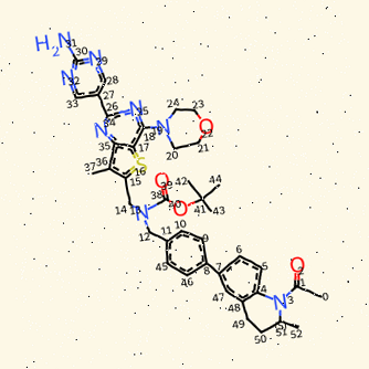 CC(=O)N1c2ccc(-c3ccc(CN(Cc4sc5c(N6CCOCC6)nc(-c6cnc(N)nc6)nc5c4C)C(=O)OC(C)(C)C)cc3)cc2CC[C@@H]1C